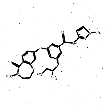 C[C@@H](CO)Oc1cc(Oc2ccc3c(c2)OCCN(C)C3=O)cc(C(=O)Nc2ccn(C)n2)c1